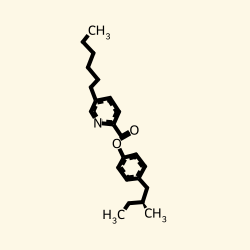 CCCCCCc1ccc(C(=O)Oc2ccc(C[C@@H](C)CC)cc2)nc1